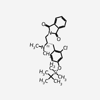 CN(C)[C@@H](Cc1ccc(O[Si](C)(C)C(C)(C)C)cc1Cl)CN1C(=O)c2ccccc2C1=O